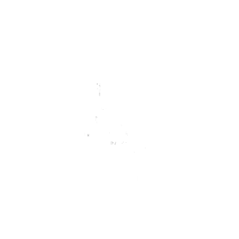 CCOC(=O)c1cc2cc(C#N)cc(Br)c2[nH]1